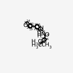 CC(C)(C)n1ccc(C(=O)NCc2nc3ccc(-c4ccc5c(c4)CCO5)cc3[nH]2)c1